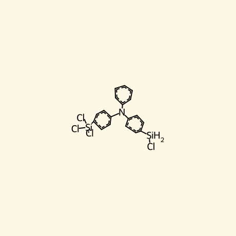 Cl[SiH2]c1ccc(N(c2ccccc2)c2ccc([Si](Cl)(Cl)Cl)cc2)cc1